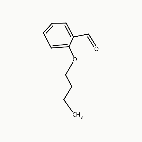 CCCCOc1ccccc1C=O